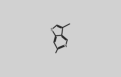 Cc1cc2scc(C)c2cn1